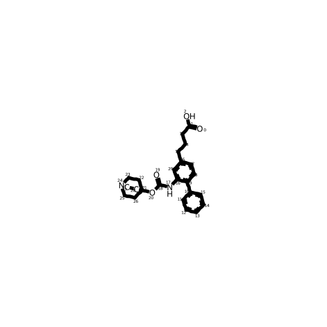 O=C(O)CCCc1ccc(-c2ccccc2)c(NC(=O)OC23CCN(CC2)CC3)c1